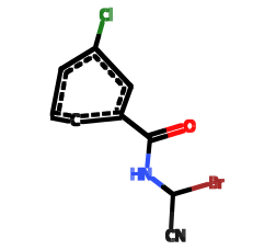 N#CC(Br)NC(=O)c1cccc(Cl)c1